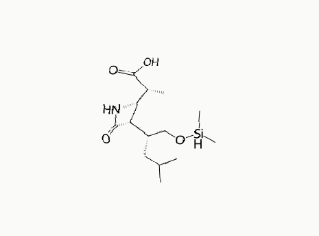 CC(C)C[C@@H](CO[SiH](C)C)[C@@H]1C(=O)N[C@@H]1[C@@H](C)C(=O)O